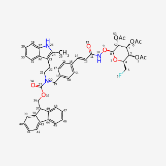 CC(=O)O[C@H]1[C@@H](OC(C)=O)[C@@H](CF)O[C@@H](ONC(=O)/C=C/c2ccc(CN(CCc3c(C)[nH]c4ccccc34)C(=O)OCC3c4ccccc4-c4ccccc43)cc2)[C@@H]1OC(C)=O